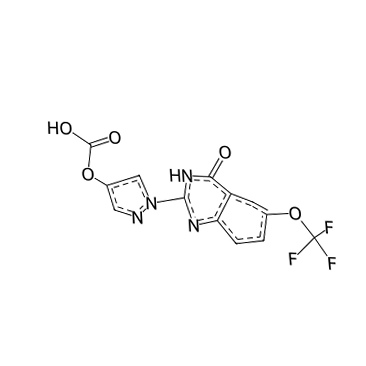 O=C(O)Oc1cnn(-c2nc3ccc(OC(F)(F)F)cc3c(=O)[nH]2)c1